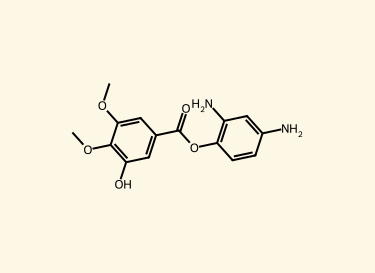 COc1cc(C(=O)Oc2ccc(N)cc2N)cc(O)c1OC